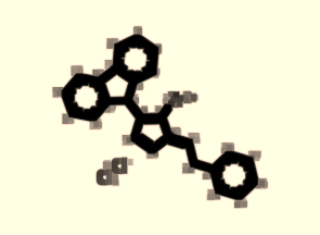 [Cl-].[Cl-].[Zr+2][C]1=C(C2c3ccccc3-c3ccccc32)C=CC1=CCc1ccccc1